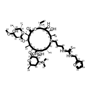 CC[C@H]1OC(=O)[C@H](C)[C@@H](O[C@@H](CCOC)O[C@@H](C)[C@@H](C)O)[C@H](C)[C@@H](O[C@@H]2O[C@H](C)C[C@H](N(C)C)[C@H]2O)[C@](C)(O)C[C@@H](C)CN(CCCNC(=S)NCc2ccco2)[C@H](C)[C@@H](O)[C@]1(C)O